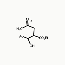 C=C(C)CC(C(=O)OCC)C(O)C(C)=O